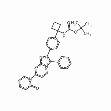 CC(C)(C)OC(=O)NC1(c2ccc(-c3nc4cc(-n5ccccc5=O)ccn4c3-c3ccccc3)cc2)CCC1